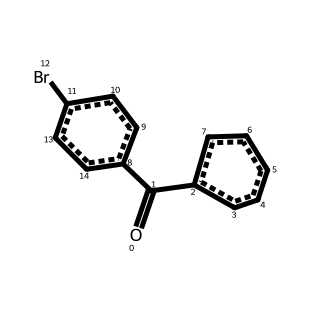 O=C(c1cc[c]cc1)c1ccc(Br)cc1